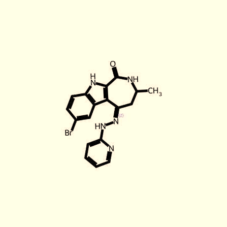 CC1C/C(=N/Nc2ccccn2)c2c([nH]c3ccc(Br)cc23)C(=O)N1